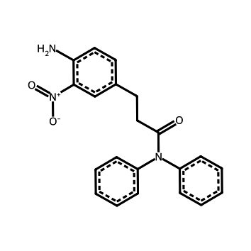 Nc1ccc(CCC(=O)N(c2ccccc2)c2ccccc2)cc1[N+](=O)[O-]